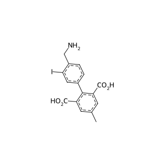 Cc1cc(C(=O)O)c(-c2ccc(CN)c(I)c2)c(C(=O)O)c1